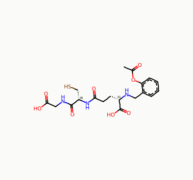 CC(=O)Oc1ccccc1CN[C@@H](CCC(=O)N[C@@H](CS)C(=O)NCC(=O)O)C(=O)O